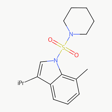 Cc1cccc2c(C(C)C)cn(S(=O)(=O)N3CCCCC3)c12